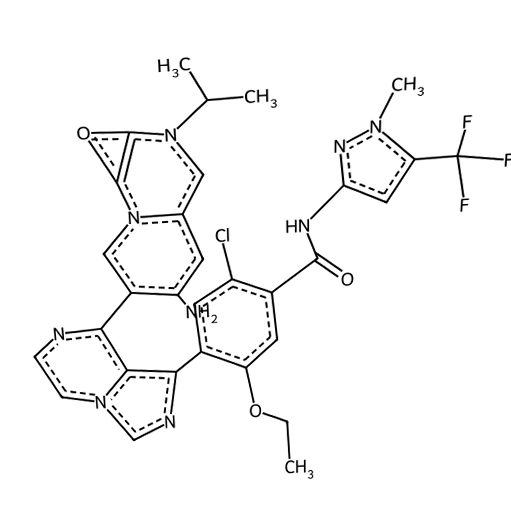 CCOc1cc(C(=O)Nc2cc(C(F)(F)F)n(C)n2)c(Cl)cc1-c1ncn2ccnc(-c3cn4c5oc=5n(C(C)C)cc4cc3N)c12